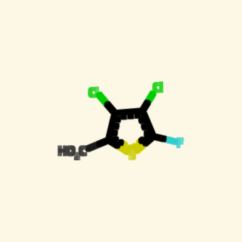 O=C(O)c1sc(F)c(Cl)c1Cl